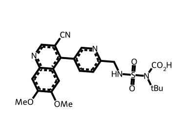 COc1cc2ncc(C#N)c(-c3ccc(CNS(=O)(=O)N(C(=O)O)C(C)(C)C)nc3)c2cc1OC